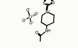 CC(=O)NC1CC[N+](=c2sccs2)CC1.[O-][Cl+3]([O-])([O-])[O-]